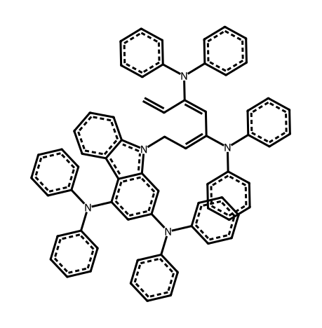 C=C/C(=C\C(=C/Cn1c2ccccc2c2c(N(c3ccccc3)c3ccccc3)cc(N(c3ccccc3)c3ccccc3)cc21)N(c1ccccc1)c1ccccc1)N(c1ccccc1)c1ccccc1